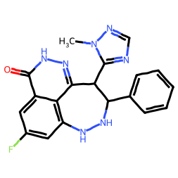 Cn1ncnc1C1c2n[nH]c(=O)c3cc(F)cc(c23)NNC1c1ccccc1